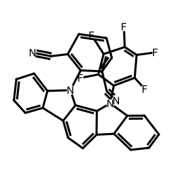 N#Cc1cccc(C#N)c1-n1c2ccccc2c2ccc3c4ccccc4n(-c4c(F)c(F)c(F)c(F)c4F)c3c21